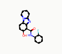 O=C(Nc1ccccc1F)c1c(O)ccc2c1nc1ccccn12